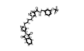 O=C(NCc1cccc(OC(F)(F)F)c1)c1cn(CCCCn2cc(N3C(=O)c4ccccc4C3=O)nn2)nn1